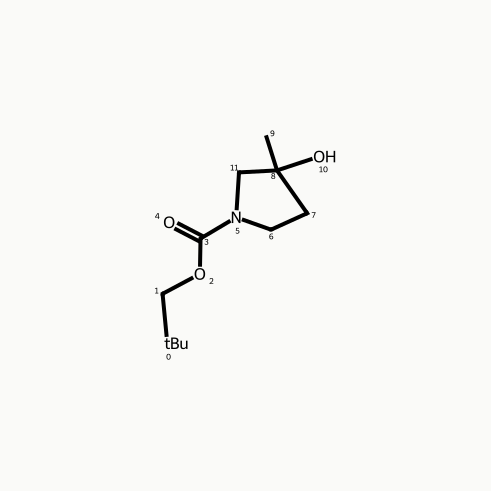 CC(C)(C)COC(=O)N1CCC(C)(O)C1